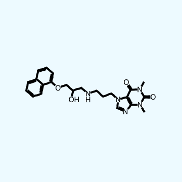 Cn1c(=O)c2c(ncn2CCCNCC(O)COc2cccc3ccccc23)n(C)c1=O